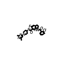 Cc1cc(N2CCC(N(C)C(=O)c3cc4c(cc3F)CC[C@H]4NC(=O)c3ccccc3Cl)CC2)nc(C)n1